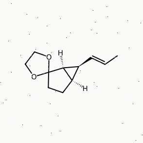 C/C=C/[C@H]1[C@H]2CCC3(OCCO3)[C@@H]12